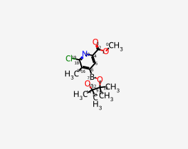 COC(=O)c1cc(B2OC(C)(C)C(C)(C)O2)c(C)c(Cl)n1